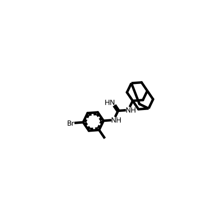 Cc1cc(Br)ccc1NC(=N)NC12CC3CC(CC(C3)C1)C2